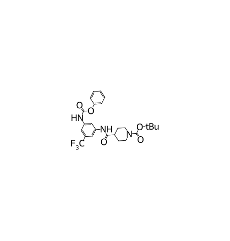 CC(C)(C)OC(=O)N1CCC(C(=O)Nc2cc(NC(=O)Oc3ccccc3)cc(C(F)(F)F)c2)CC1